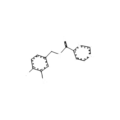 O=C(NCc1ccc(F)c(C(F)(F)F)c1)c1ccncn1